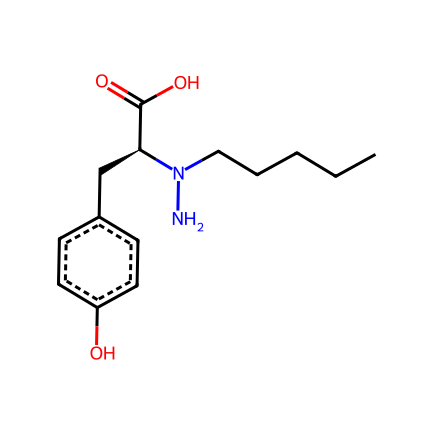 CCCCCN(N)[C@@H](Cc1ccc(O)cc1)C(=O)O